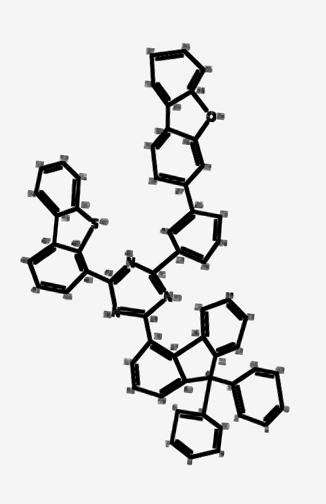 c1ccc(C2(c3ccccc3)c3ccccc3-c3c(-c4nc(-c5cccc(-c6ccc7c(c6)oc6ccccc67)c5)nc(-c5cccc6c5sc5ccccc56)n4)cccc32)cc1